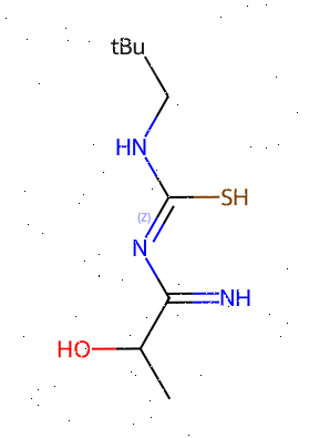 CC(O)C(=N)/N=C(\S)NCC(C)(C)C